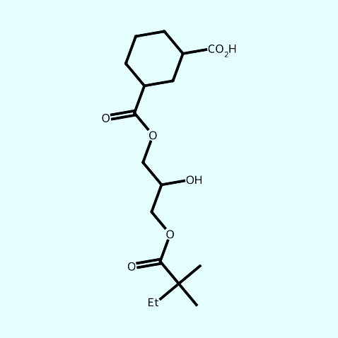 CCC(C)(C)C(=O)OCC(O)COC(=O)C1CCCC(C(=O)O)C1